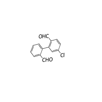 O=Cc1ccccc1-c1cc(Cl)ccc1C=O